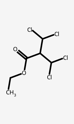 CCOC(=O)C(C(Cl)Cl)C(Cl)Cl